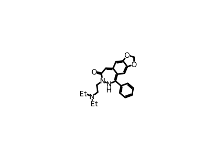 CCN(CC)CCN1NC(c2ccccc2)=c2cc3c(cc2=CC1=O)OCO3